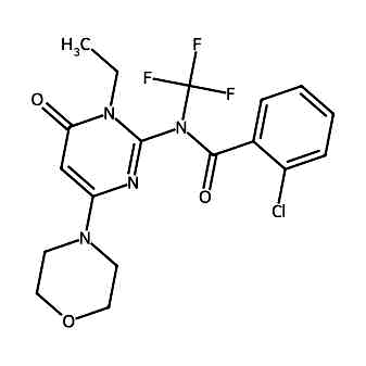 CCn1c(N(C(=O)c2ccccc2Cl)C(F)(F)F)nc(N2CCOCC2)cc1=O